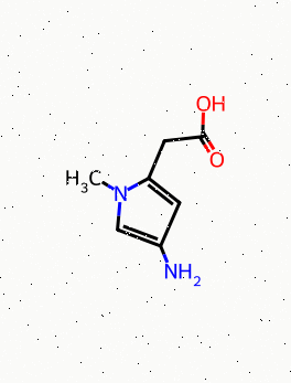 Cn1cc(N)cc1CC(=O)O